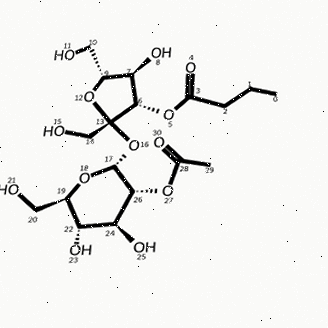 CCCC(=O)O[C@H]1[C@H](O)[C@@H](CO)O[C@@]1(CO)O[C@H]1O[C@H](CO)[C@@H](O)[C@H](O)[C@H]1OC(C)=O